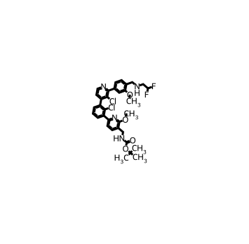 COc1cc(-c2nccc(-c3cccc(-c4ccc(CNC(=O)OC(C)(C)C)c(OC)n4)c3Cl)c2Cl)ccc1CNCC(F)F